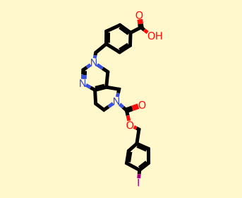 O=C(O)c1ccc(CN2C=NC3=C(C2)CN(C(=O)OCc2ccc(I)cc2)CC3)cc1